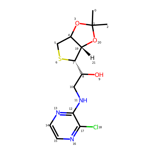 CC1(C)OC2CS[C@@H](C(O)CNc3nccnc3Cl)[C@H]2O1